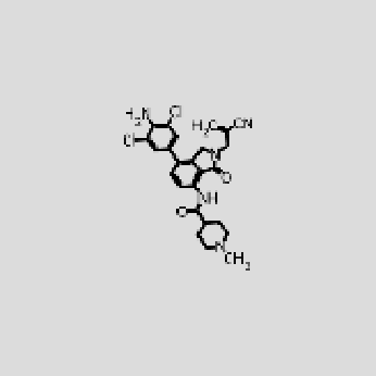 C=C(C#N)CN1Cc2c(-c3cc(Cl)c(N)c(Cl)c3)ccc(NC(=O)C3CCN(C)CC3)c2C1=O